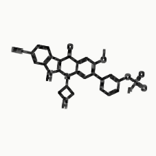 C#Cc1ccc2c(c1)[nH]c1c2c(=O)c2cc(OC)c(-c3cccc(OS(=O)(=O)F)c3)cc2n1C1CNC1